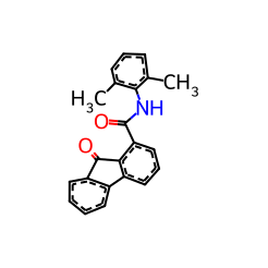 Cc1cccc(C)c1NC(=O)c1cccc2c1C(=O)c1ccccc1-2